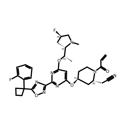 C=CC(=O)N1CC[C@H](Oc2cc(O[C@@H](C)[C@@H]3C[C@@H](F)CN3C)nc(-c3noc(C4(c5ccccc5F)CCC4)n3)n2)C[C@H]1CC#N